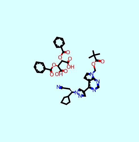 CC(C)(C)C(=O)OCn1ccc2c(-c3cnn([C@H](CC#N)C4CCCC4)c3)ncnc21.O=C(O[C@H](C(=O)O)[C@H](OC(=O)c1ccccc1)C(=O)O)c1ccccc1